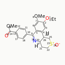 CCOc1cc2c(cc1OC)C(c1ccc(C(=O)OC)cc1)=N[C@@H]1CC[S@@+]([O-])C[C@H]21